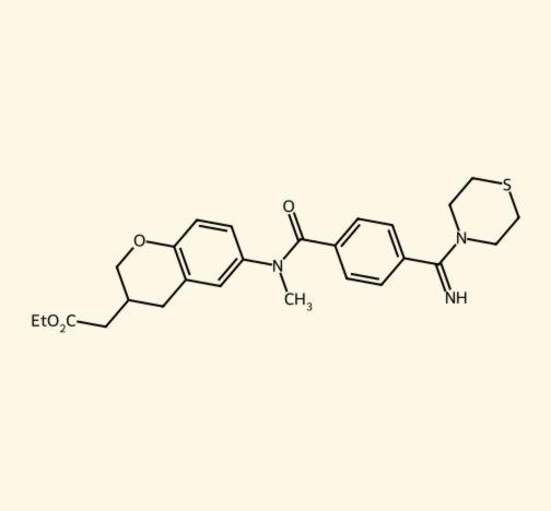 CCOC(=O)CC1COc2ccc(N(C)C(=O)c3ccc(C(=N)N4CCSCC4)cc3)cc2C1